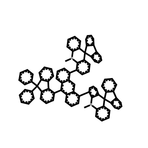 CN1c2ccccc2C2(c3ccccc3-c3ccccc32)c2cccc(-c3cccc4c(-c5cccc6c5-c5ccccc5C6(c5ccccc5)c5ccccc5)c5cccc(-c6cccc7c6N(C)c6ccccc6C76c7ccccc7-c7ccccc76)c5cc34)c21